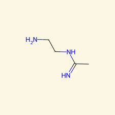 CC(=N)NCCN